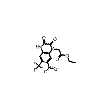 CCOC(=O)Cn1c(=O)c(=O)[nH]c2cc(C(F)(F)F)c([N+](=O)[O-])cc21